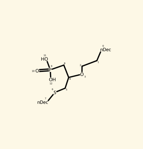 CCCCCCCCCCCCOC(CSCCCCCCCCCC)CP(=O)(O)O